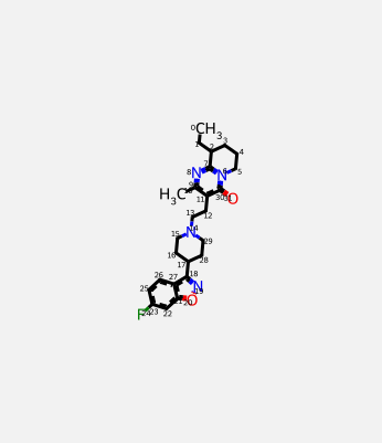 CCC1CCCn2c1nc(C)c(CCN1CCC(c3noc4cc(F)ccc34)CC1)c2=O